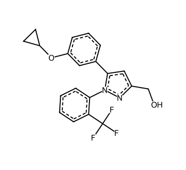 OCc1cc(-c2cccc(OC3CC3)c2)n(-c2ccccc2C(F)(F)F)n1